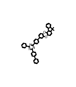 CC1(C)c2ccccc2-c2c1ccc1c2Oc2ccc(-c3ccc(-c4nc(-c5ccccc5)nc(-c5ccc(-c6ccccc6)cc5)n4)cc3)cc2O1